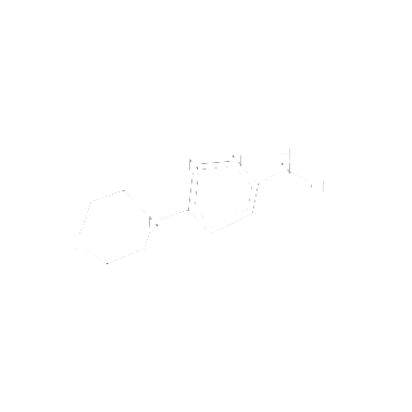 CNc1ccc(N2CCOCC2)nn1